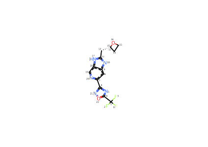 FC(F)(F)c1nc(-c2cc3nc(C[C@H]4CCO4)[nH]c3cn2)no1